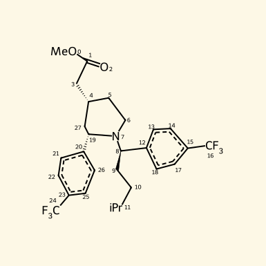 COC(=O)C[C@@H]1CCN([C@H](CCC(C)C)c2ccc(C(F)(F)F)cc2)[C@H](c2ccc(C(F)(F)F)cc2)C1